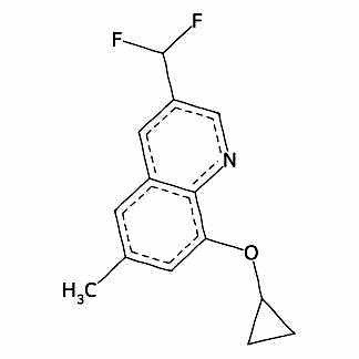 Cc1cc(OC2CC2)c2ncc(C(F)F)cc2c1